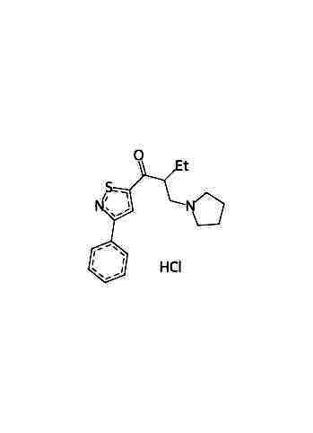 CCC(CN1CCCC1)C(=O)c1cc(-c2ccccc2)ns1.Cl